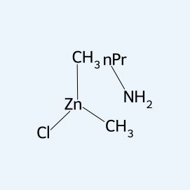 CCCN.[CH3][Zn]([CH3])[Cl]